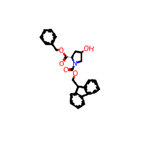 O=C(OCc1ccccc1)[C@@H]1CC(O)CN1C(=O)OCC1c2ccccc2-c2ccccc21